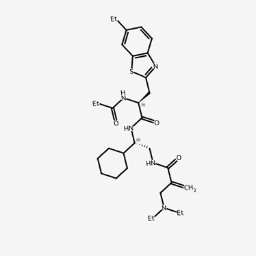 C=C(CN(CC)CC)C(=O)NC[C@@H](NC(=O)[C@H](Cc1nc2ccc(CC)cc2s1)NC(=O)CC)C1CCCCC1